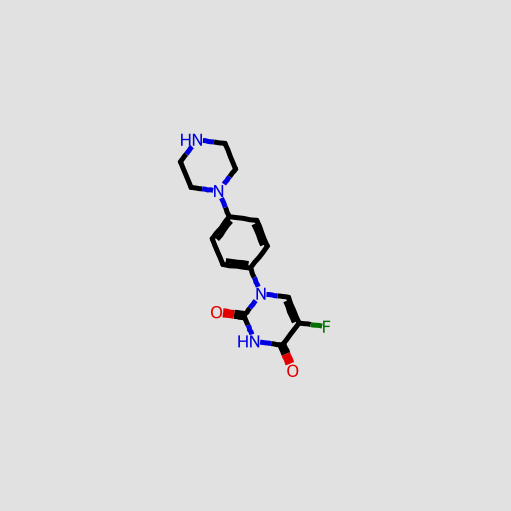 O=c1[nH]c(=O)n(-c2ccc(N3CCNCC3)cc2)cc1F